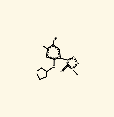 Cn1nnn(-c2cc(C(C)(C)C)c(F)cc2OC2CCOC2)c1=O